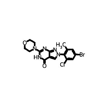 Cc1cc(Br)cc(Cl)c1-n1cc2c(=O)[nH]c(N3CCOCC3)nc2n1